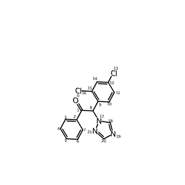 O=C(c1ccccc1)C(c1ccc(Cl)cc1Cl)n1cncn1